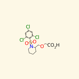 O=C(O)COCC1CCCCN1S(=O)(=O)c1c(Cl)cc(Cl)cc1Cl